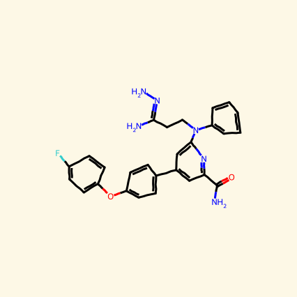 N/N=C(\N)CCN(c1ccccc1)c1cc(-c2ccc(Oc3ccc(F)cc3)cc2)cc(C(N)=O)n1